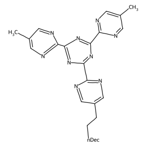 CCCCCCCCCCCCc1cnc(-c2nc(-c3ncc(C)cn3)nc(-c3ncc(C)cn3)n2)nc1